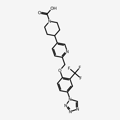 O=C(O)N1CCC(c2ccc(COc3ccc(-n4cnnn4)cc3C(F)(F)F)nc2)CC1